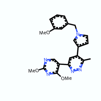 COc1cccc(Cn2ccc(-c3cc(-c4cnc(OC)nc4OC)nnc3C)c2)c1